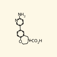 Nc1ccc(-c2ccc3c(c2)CN(C(=O)O)CCO3)cn1